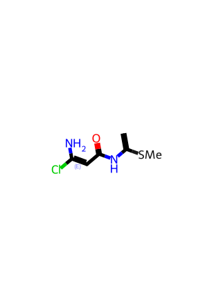 C=C(NC(=O)/C=C(\N)Cl)SC